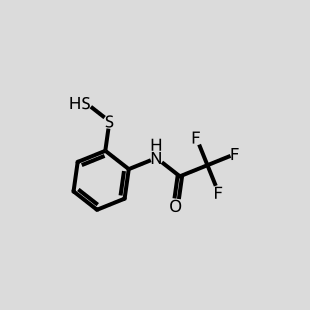 O=C(Nc1ccccc1SS)C(F)(F)F